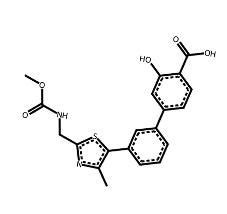 COC(=O)NCc1nc(C)c(-c2cccc(-c3ccc(C(=O)O)c(O)c3)c2)s1